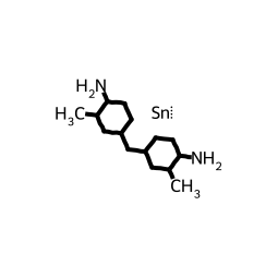 CC1CC(CC2CCC(N)C(C)C2)CCC1N.[Sn]